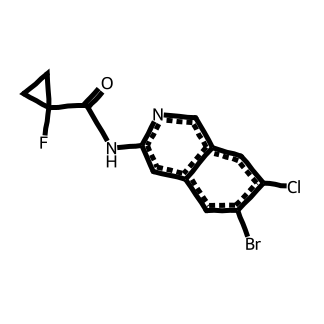 O=C(Nc1cc2cc(Br)c(Cl)cc2cn1)C1(F)CC1